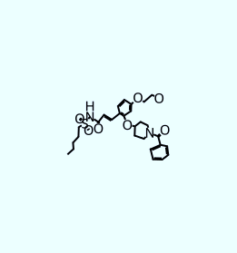 CCCCCS(=O)(=O)NC(=O)/C=C/c1ccc(OCCOC)cc1OC1CCN(C(=O)c2ccccc2)CC1